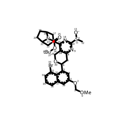 COCOc1cc(C2Cc3nc([S+](C)[O-])nc(N4CC5CCC(C4)N5C(=O)OC(C)(C)C)c3CO2)c2c(Br)cccc2c1